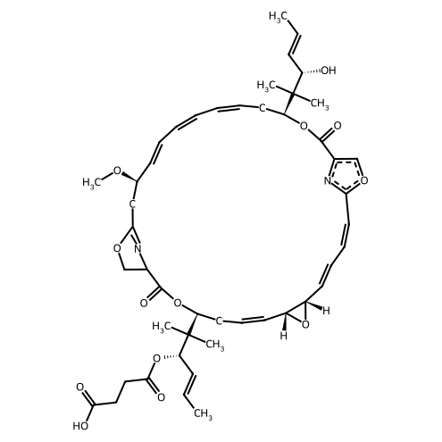 C/C=C/[C@H](OC(=O)CCC(=O)O)C(C)(C)[C@@H]1C/C=C\[C@H]2O[C@H]2/C=C/C=C\c2nc(co2)C(=O)O[C@H](C(C)(C)[C@@H](O)/C=C/C)C\C=C/C=C\C=C\[C@H](OC)CC2=NC(CO2)C(=O)O1